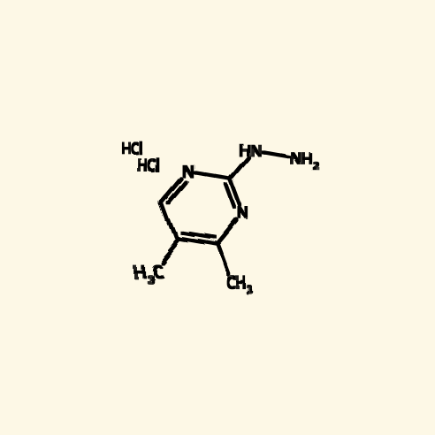 Cc1cnc(NN)nc1C.Cl.Cl